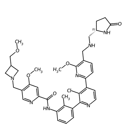 COCC1CN(Cc2cnc(C(=O)Nc3cccc(-c4nccc(-c5ccc(CNC[C@@H]6CCC(=O)N6)c(OC)n5)c4Cl)c3C)cc2OC)C1